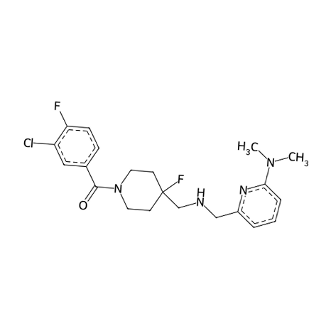 CN(C)c1cccc(CNCC2(F)CCN(C(=O)c3ccc(F)c(Cl)c3)CC2)n1